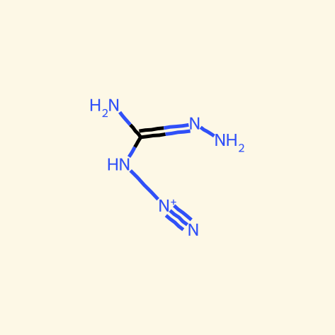 N#[N+]NC(N)=NN